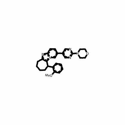 COc1ccccc1C1CCCCc2nc3ccc(-c4cnc(N5CCOCC5)nc4)cn3c21